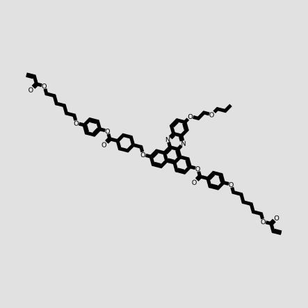 C=CC(=O)OCCCCCCOc1ccc(OC(=O)C2CCC(COc3ccc4c5ccc(OC(=O)c6ccc(OCCCCCCOC(=O)C=C)cc6)cc5c5nc6cc(OCCOCCC)ccc6nc5c4c3)CC2)cc1